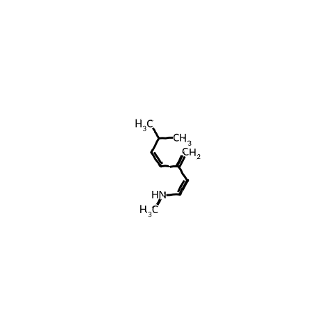 C=C(/C=C\NC)/C=C\C(C)C